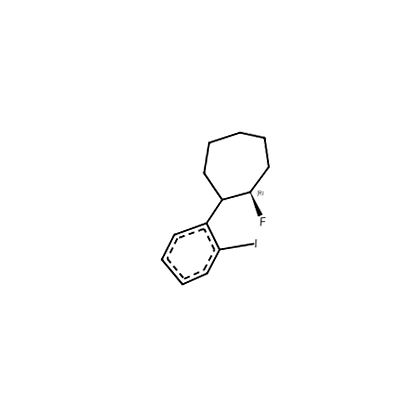 F[C@@H]1CCCCCC1c1ccccc1I